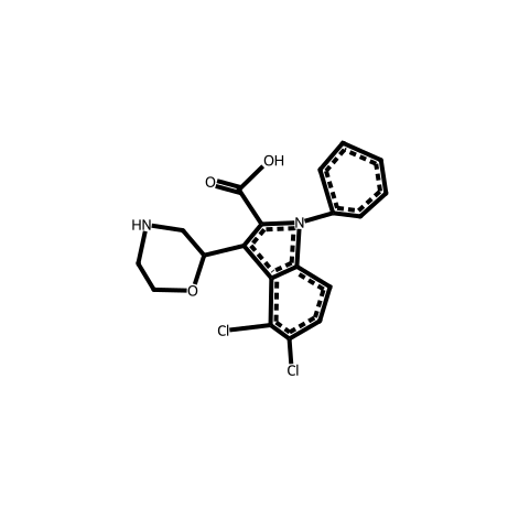 O=C(O)c1c(C2CNCCO2)c2c(Cl)c(Cl)ccc2n1-c1ccccc1